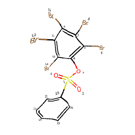 O=S(=O)(Oc1c(Br)c(Br)c(Br)c(Br)c1Br)c1ccccc1